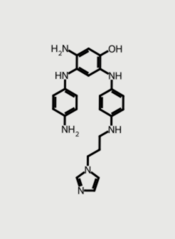 Nc1ccc(Nc2cc(Nc3ccc(NCCCn4ccnc4)cc3)c(O)cc2N)cc1